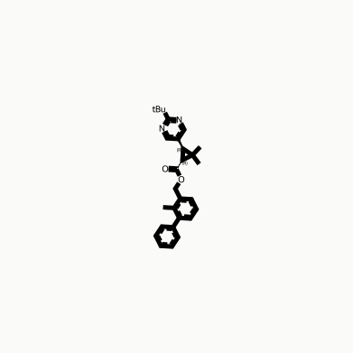 Cc1c(COC(=O)[C@@H]2[C@@H](c3cnc(C(C)(C)C)nc3)C2(C)C)cccc1-c1ccccc1